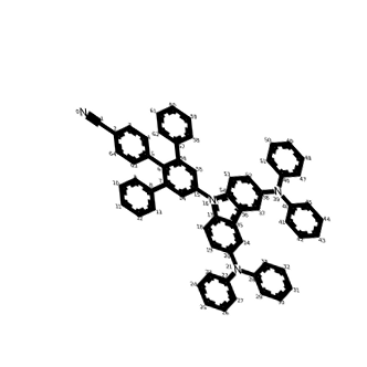 N#Cc1ccc(-c2c(-c3ccccc3)cc(-n3c4ccc(N(c5ccccc5)c5ccccc5)cc4c4cc(N(c5ccccc5)c5ccccc5)ccc43)cc2-c2ccccc2)cc1